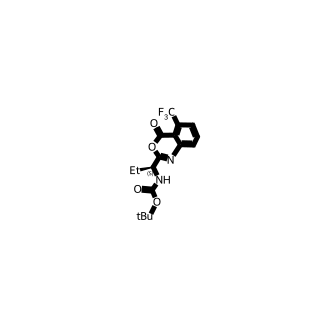 CC[C@H](NC(=O)OC(C)(C)C)c1nc2cccc(C(F)(F)F)c2c(=O)o1